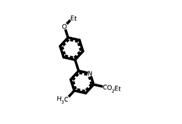 CCOC(=O)c1cc(C)cc(-c2ccc(OCC)cc2)n1